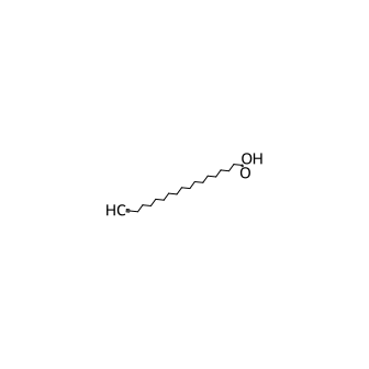 C#CCCCCCCCCCCCCCCCCC(=O)O